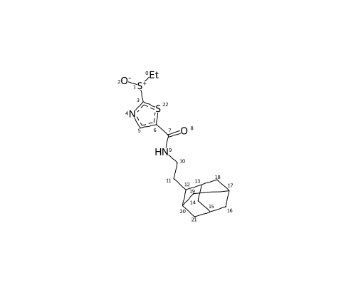 CC[S+]([O-])c1ncc(C(=O)NCCC2C3CC4CC(C3)CC2C4)s1